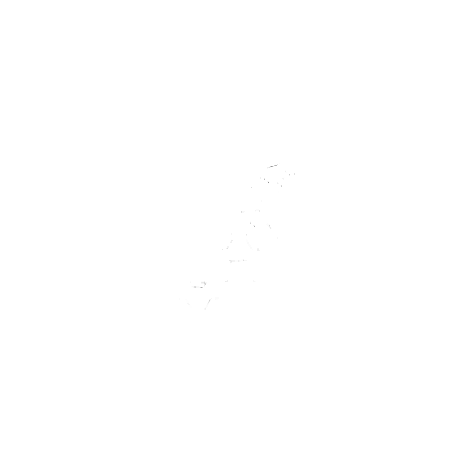 O=C1O[C@@H](Cn2ccnn2)CN1c1ccc(OCc2ccccc2)c(F)c1